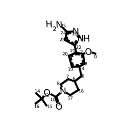 COc1cc(CC2CCN(C(=O)OC(C)(C)C)CC2)ccc1-c1cc(N)n[nH]1